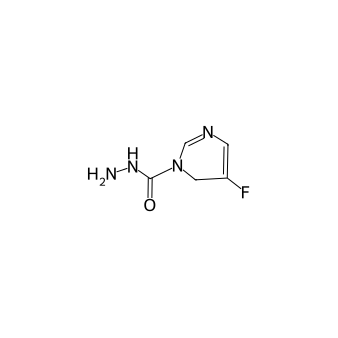 NNC(=O)N1C=NC=C(F)C1